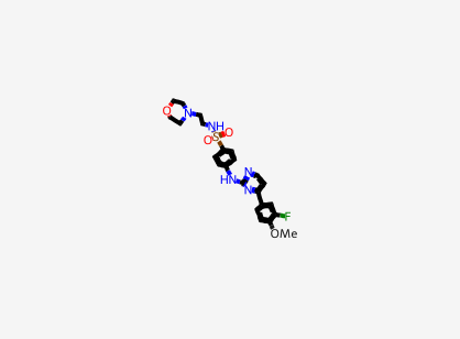 COc1ccc(-c2ccnc(Nc3ccc(S(=O)(=O)NCCN4CCOCC4)cc3)n2)cc1F